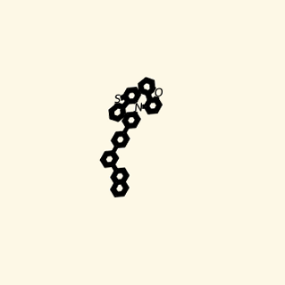 c1cc(-c2ccc(-c3ccc(N(c4cccc5oc6ccccc6c45)c4cccc5sc6ccccc6c45)cc3)cc2)cc(-c2ccc3ccccc3c2)c1